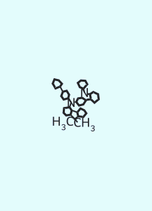 CC1(C)c2ccccc2-c2c(N(c3ccc(-c4ccccc4)cc3)c3ccc4c5ccccc5n(-c5ccccc5)c4c3)cccc21